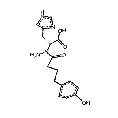 NN(C(=O)CCCc1ccc(O)cc1)[C@H](Cc1c[nH]cn1)C(=O)O